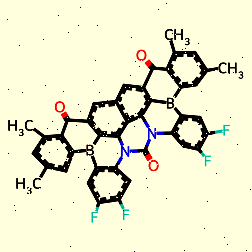 Cc1cc(C)c2c(c1)B1c3cc(F)c(F)cc3N3C(=O)N4c5cc(F)c(F)cc5B5c6cc(C)cc(C)c6C(=O)c6cc7cc(c1c3c7c4c65)C2=O